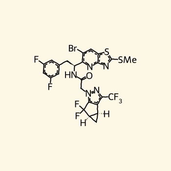 CSc1nc2nc([C@H](Cc3cc(F)cc(F)c3)NC(=O)Cn3nc(C(F)(F)F)c4c3C(F)(F)[C@@H]3C[C@H]43)c(Br)cc2s1